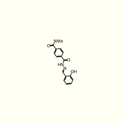 CNC(=O)c1ccc(C(=O)N/N=C/c2ccccc2O)cc1